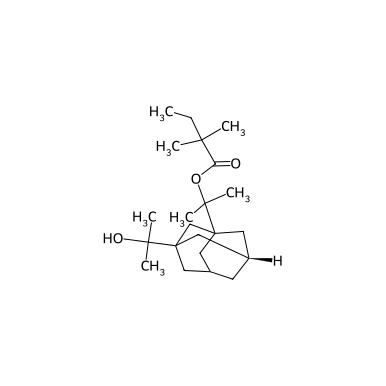 CCC(C)(C)C(=O)OC(C)(C)C12CC3C[C@H](CC(C(C)(C)O)(C3)C1)C2